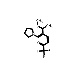 CSC(C)C(/C=C\C(=O)C(F)(F)F)=C\N1CCCC1